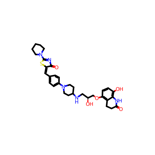 O=C1CCc2c(OC[C@@H](O)CNC3CCN(c4ccc(C=C5SC(N6CCCCC6)=NC5=O)cc4)CC3)ccc(O)c2N1